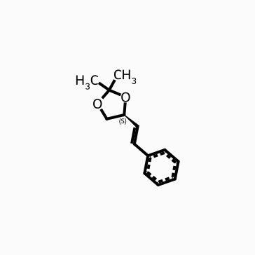 CC1(C)OC[C@H](C=Cc2ccccc2)O1